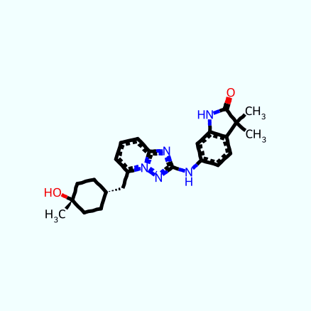 CC1(C)C(=O)Nc2cc(Nc3nc4cccc(C[C@H]5CC[C@@](C)(O)CC5)n4n3)ccc21